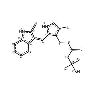 C=C(CCc1c(C)c[nH]c1/C=c1\c(=C)[nH]c2ccccc12)CC(C)(C)S